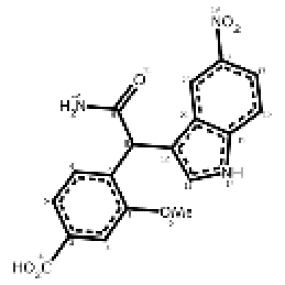 COc1cc(C(=O)O)ccc1C(C(N)=O)c1c[nH]c2ccc([N+](=O)[O-])cc12